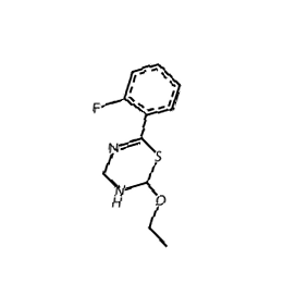 CCOC1NCN=C(c2ccccc2F)S1